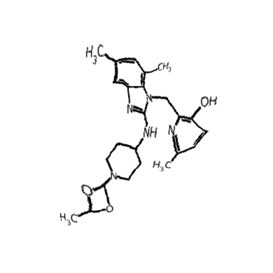 Cc1cc(C)c2c(c1)nc(NC1CCN(C3OC(C)O3)CC1)n2Cc1nc(C)ccc1O